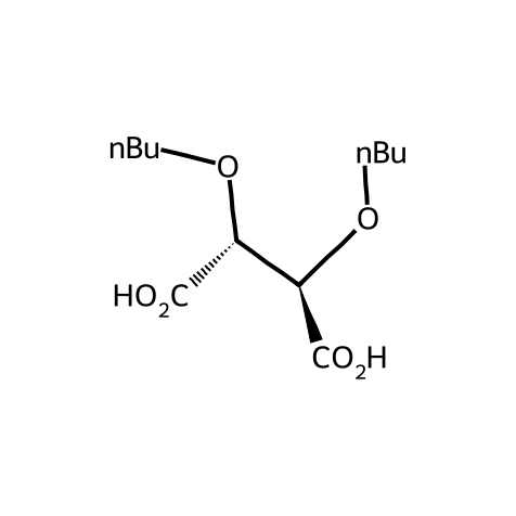 CCCCO[C@@H](C(=O)O)[C@@H](OCCCC)C(=O)O